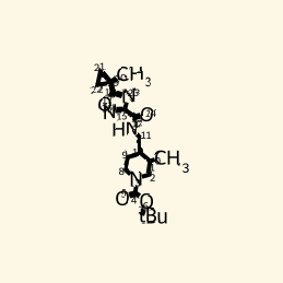 CC1CN(C(=O)OC(C)(C)C)CCC1CNC(=O)c1noc(C2(C)CC2)n1